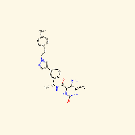 C=C1NC(=O)NC(C(=O)N[C@H](C)c2cccc(-c3cnn(CCc4ccc(OC)cc4)c3)c2)=C1N